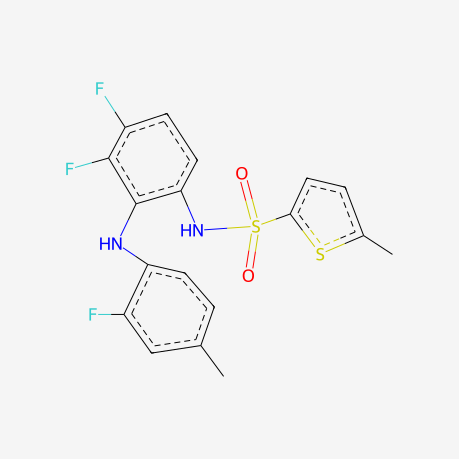 Cc1ccc(Nc2c(NS(=O)(=O)c3ccc(C)s3)ccc(F)c2F)c(F)c1